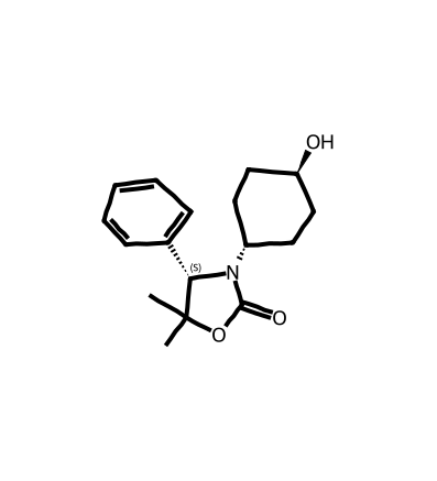 CC1(C)OC(=O)N([C@H]2CC[C@H](O)CC2)[C@H]1c1ccccc1